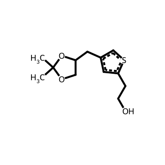 CC1(C)OCC(Cc2csc(CCO)c2)O1